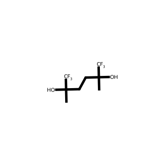 CC(O)(CCC(C)(O)C(F)(F)F)C(F)(F)F